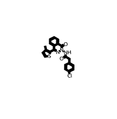 Cc1ccsc1-c1nn(NC(=O)Cc2ccc(Cl)cc2)c(=O)c2ccccc12